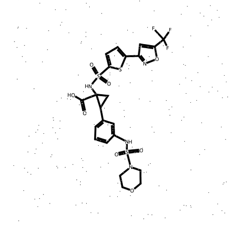 O=C(O)C1(NS(=O)(=O)c2ccc(-c3cc(C(F)(F)F)on3)s2)CC1c1cccc(NS(=O)(=O)N2CCOCC2)c1